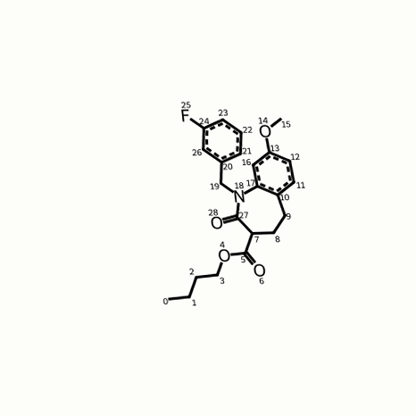 CCCCOC(=O)C1CCc2ccc(OC)cc2N(Cc2cccc(F)c2)C1=O